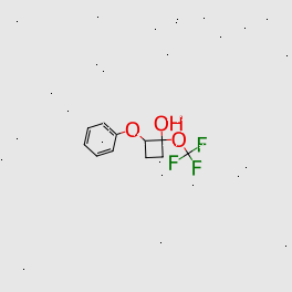 OC1(OC(F)(F)F)CCC1Oc1ccccc1